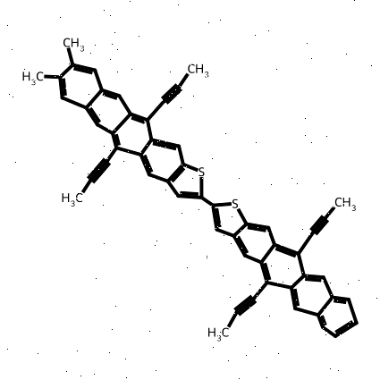 CC#Cc1c2cc3ccccc3cc2c(C#CC)c2cc3sc(-c4cc5cc6c(C#CC)c7cc8cc(C)c(C)cc8cc7c(C#CC)c6cc5s4)cc3cc12